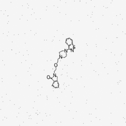 O=C1c2ccccc2CN1CCOCCN1CCN(c2nsc3ccccc23)CC1